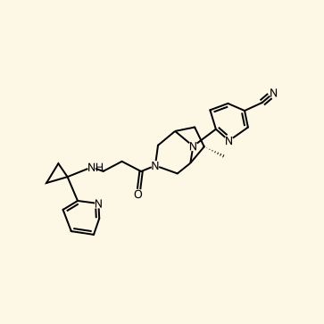 C[C@H]1CC2CN(C(=O)CCNC3(c4ccccn4)CC3)CC1N2c1ccc(C#N)cn1